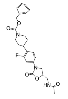 CC(=O)NC[C@H]1CN(c2ccc(C3CCN(C(=O)OCc4ccccc4)CC3)c(F)c2)C(=O)O1